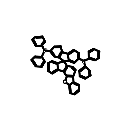 c1ccc(N(c2ccccc2)c2ccc3c(c2)C2(c4cc(N(c5ccccc5)c5ccccc5)ccc4-3)c3ccccc3-c3c2ccc2c3oc3ccccc32)cc1